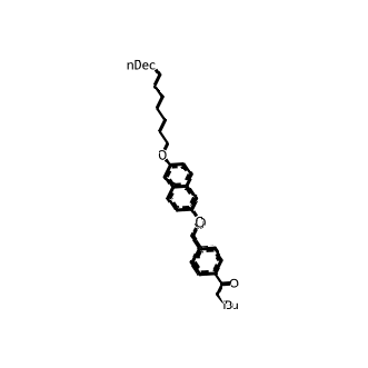 CCCCCCCCCCCCCCCCCOc1ccc2cc(OCc3ccc(C(=O)C[C@H](C)CC)cc3)ccc2c1